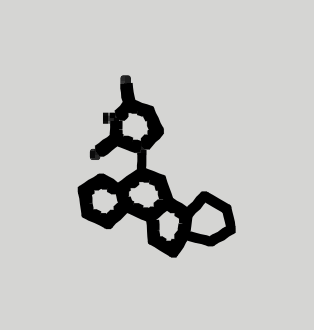 O=c1ccn(-c2cc3c4c(ccc3c3ccccc23)CCCC4)c(=O)[nH]1